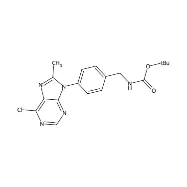 Cc1nc2c(Cl)ncnc2n1-c1ccc(CNC(=O)OC(C)(C)C)cc1